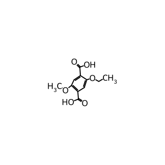 CCOc1cc(C(=O)O)c(OC)cc1C(=O)O